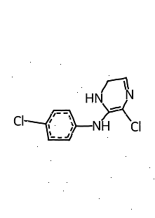 ClC1=C(Nc2ccc(Cl)cc2)NCC=N1